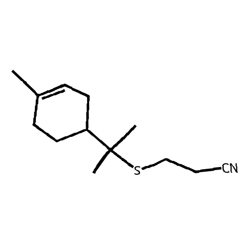 CC1=CCC(C(C)(C)SCCC#N)CC1